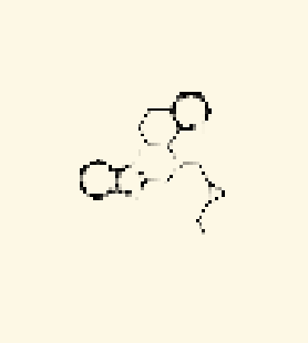 NCC1CC1CN(Cc1nc2ccccc2[nH]1)C1CCCc2cccnc21